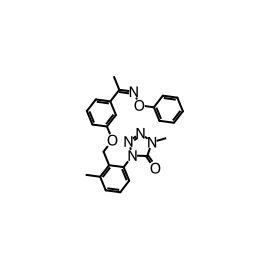 CC(=NOc1ccccc1)c1cccc(OCc2c(C)cccc2-n2nnn(C)c2=O)c1